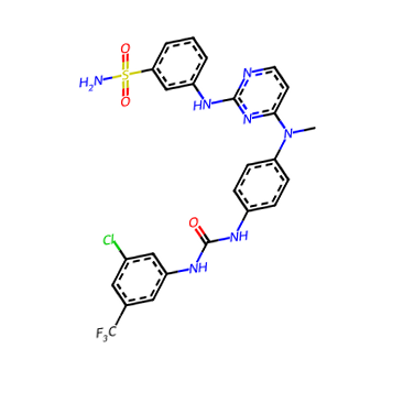 CN(c1ccc(NC(=O)Nc2cc(Cl)cc(C(F)(F)F)c2)cc1)c1ccnc(Nc2cccc(S(N)(=O)=O)c2)n1